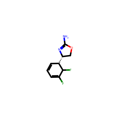 NC1=N[C@@H](C2C=CC=C(F)C2F)CO1